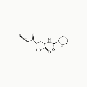 [N-]=[N+]=CC(=O)CCC(NC(=O)[C@H]1CCCCO1)C(=O)O